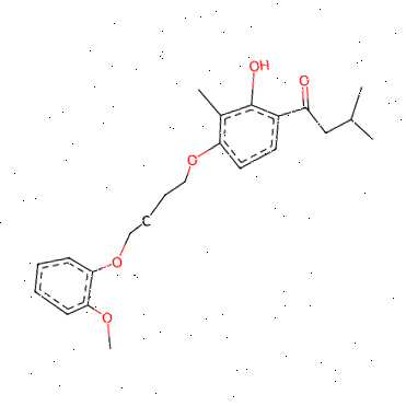 COc1ccccc1OCCCCOc1ccc(C(=O)CC(C)C)c(O)c1C